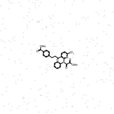 COC(=O)C(=O)N(c1ccccc1)c1nc(C(F)(F)F)ccc1C(=O)CCc1ccc(C(=O)OC)cc1